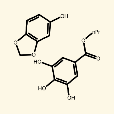 CCCOC(=O)c1cc(O)c(O)c(O)c1.Oc1ccc2c(c1)OCO2